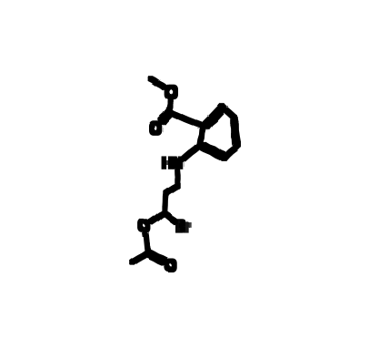 COC(=O)c1ccccc1NCCC(Br)OC(C)=O